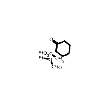 CCOC(C)=O.CCOC=O.O=C1CCCCC1